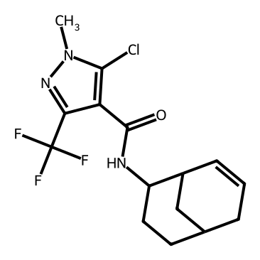 Cn1nc(C(F)(F)F)c(C(=O)NC2CCC3CC=CC2C3)c1Cl